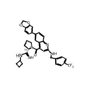 N=C(NC1CCC1)[C@@H]1CCCN1C(=O)c1cc(NCc2ccc(C(F)(F)F)cc2)nc2ccc(-c3ccc4c(c3)OCO4)cc12